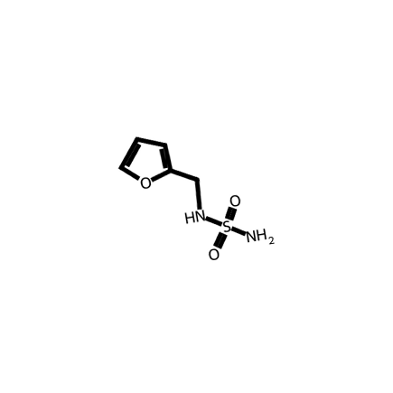 NS(=O)(=O)NCc1ccco1